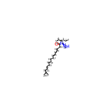 CCC[C@@H](CC)N(N=N)C(=O)CCCCCCCCCCCCCCC(C)C